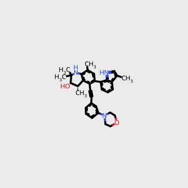 Cc1cc(-c2cccc3c(C)c[nH]c23)c(C#Cc2cccc(N3CCOCC3)c2)c2c1NC(C)(C)[C@H](O)[C@H]2C